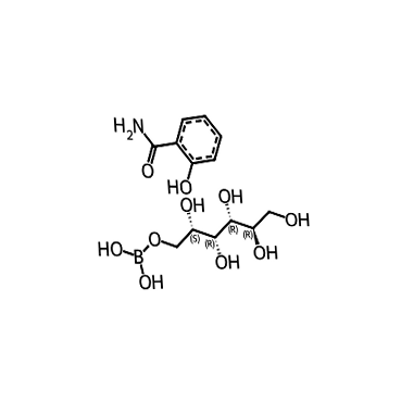 NC(=O)c1ccccc1O.OC[C@@H](O)[C@@H](O)[C@H](O)[C@@H](O)COB(O)O